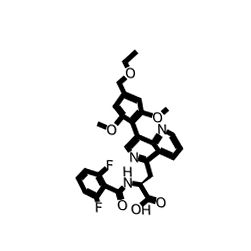 CCOCc1cc(OC)c(-c2cnc(C[C@H](NC(=O)c3c(F)cccc3F)C(=O)O)c3cccnc23)c(OC)c1